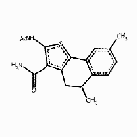 CC(=O)Nc1sc2c(c1C(N)=O)CC(C)c1ccc(C)cc1-2